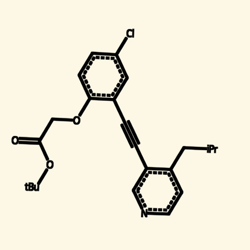 CC(C)Cc1ccncc1C#Cc1cc(Cl)ccc1OCC(=O)OC(C)(C)C